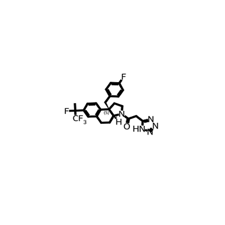 CC(F)(c1ccc2c(c1)CC[C@H]1N(C(=O)Cc3nnn[nH]3)CC[C@@]21Cc1ccc(F)cc1)C(F)(F)F